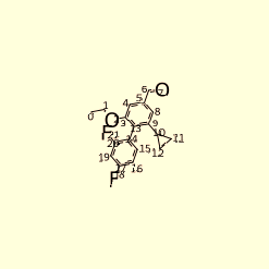 CCOc1cc(C=O)cc(C2CC2)c1-c1ccc(F)cc1F